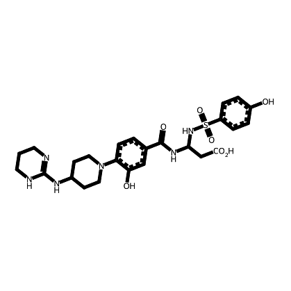 O=C(O)CC(NC(=O)c1ccc(N2CCC(NC3=NCCCN3)CC2)c(O)c1)NS(=O)(=O)c1ccc(O)cc1